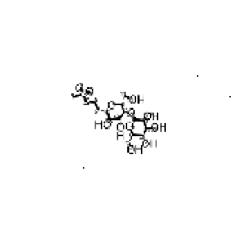 CS(=O)(=O)SCC[C@@H]1O[C@H](CO)[C@@H](O[C@@H]2O[C@H](CO)[C@H](O)[C@H](O)[C@H]2O)[C@H](O)[C@H]1O